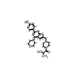 CC(O)C(=O)N1CCN(Cc2cc3c(N4CCOCC4)nc(-c4ccc(C#N)nc4)nc3s2)CC1